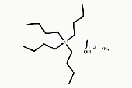 CCCC[N+](CCCC)(CCCC)CCCC.CO.P.[OH-]